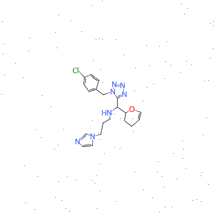 Clc1ccc(Cn2nnnc2C(NCCCn2ccnc2)C2CCC=CO2)cc1